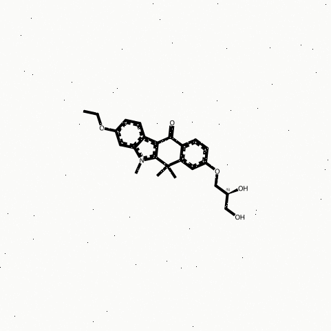 CCOc1ccc2c3c(n(C)c2c1)C(C)(C)c1cc(OC[C@@H](O)CO)ccc1C3=O